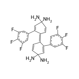 NC1(N)C=CC(=C2C=CC(N)(N)C=C2c2cc(F)c(F)c(F)c2)C(c2cc(F)c(F)c(F)c2)=C1